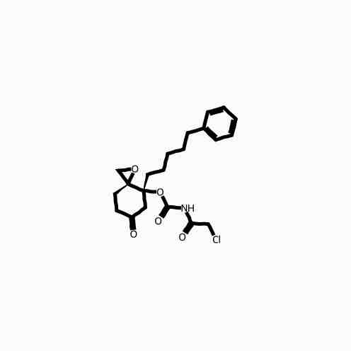 O=C1CC[C@]2(CO2)[C@](CCCCCc2ccccc2)(OC(=O)NC(=O)CCl)C1